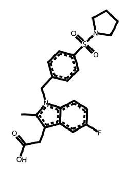 Cc1c(CC(=O)O)c2cc(F)ccc2n1Cc1ccc(S(=O)(=O)N2CCCC2)cc1